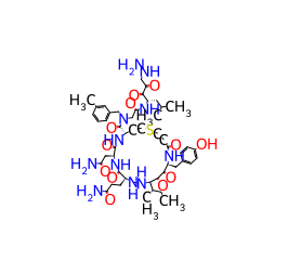 CC[C@H](C)C1NN[C@@H](CCC(N)=O)C(=O)N[C@@H](CC(N)=O)C(=O)N[C@H](C(=O)N(CC(=O)N[C@@H](CC(C)C)C(=O)C(=O)CNN)Cc2cccc(C)c2)CCSCCC(=O)N[C@@H](Cc2ccc(O)cc2)C(=O)C1=O